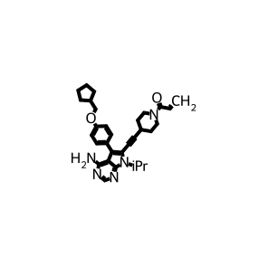 C=CC(=O)N1CCC(C#Cc2c(-c3ccc(OCC4CCCC4)cc3)c3c(N)ncnc3n2C(C)C)CC1